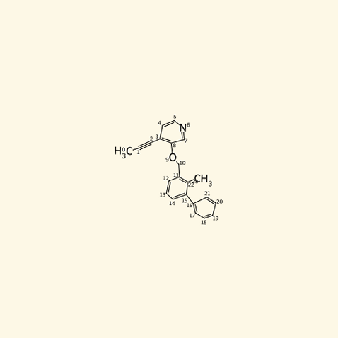 CC#Cc1ccncc1OCc1cccc(-c2ccccc2)c1C